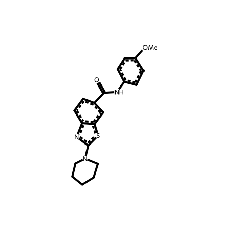 COc1ccc(NC(=O)c2ccc3nc(N4CCCCC4)sc3c2)cc1